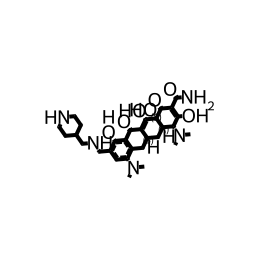 CN(C)c1cc(CNCC2CCNCC2)c(O)c2c1C[C@@H]1C[C@@H]3C(N(C)C)C(O)=C(C(N)=O)C(=O)[C@@]3(O)C(O)=C1C2=O